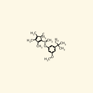 [CH2]=[Ti]([O]c1cc(OC)cc(C(C)(C)C)c1)[C]1=C(C)C(C)=C(C)C1C